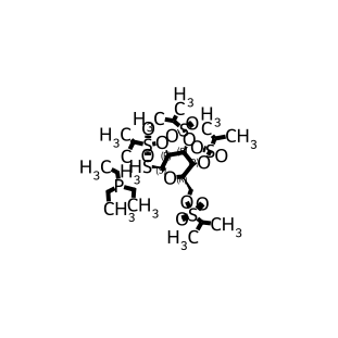 CC(C)S(=O)(=O)OC[C@H]1O[C@@H](S)[C@H](OS(=O)(=O)C(C)C)[C@@H](OS(=O)(=O)C(C)C)[C@@H]1OS(=O)(=O)C(C)C.CCP(CC)CC